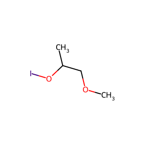 COCC(C)OI